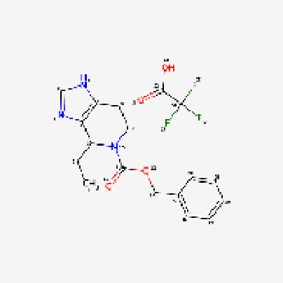 CCC1c2nc[nH]c2CCN1C(=O)OCc1ccccc1.O=C(O)C(F)(F)F